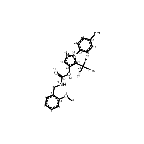 COc1ccccc1CNC(=O)Oc1cnn(-c2ccc(F)cc2)c1C(F)(F)F